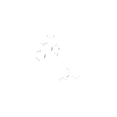 Cc1nc2c(N)nc3ccccc3c2n1CCCNC(=N)N